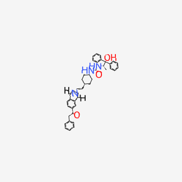 C[C@@H](NC(=O)N[C@H]1CC[C@H](CCN2[C@@H]3CC[C@H]2c2ccc(C(=O)Cc4ccccc4)cc23)CC1)C(O)(c1ccccc1)c1ccccc1